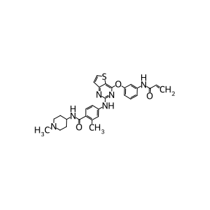 C=CC(=O)Nc1cccc(Oc2nc(Nc3ccc(C(=O)NC4CCN(C)CC4)c(C)c3)nc3ccsc23)c1